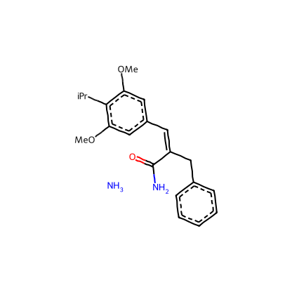 COc1cc(C=C(Cc2ccccc2)C(N)=O)cc(OC)c1C(C)C.N